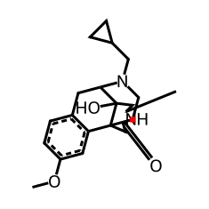 COc1ccc2c(c1)C13CCN(CC4CC4)C(C2)C1(O)CC(C)NC(=O)C3